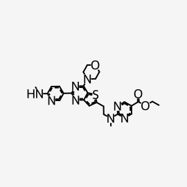 CCOC(=O)c1cnc(N(C)CCc2cc3nc(-c4ccc(NC)nc4)nc(N4CCOCC4)c3s2)nc1